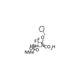 CNS(=O)(=O)N[C@@H]1CN(C(=O)O)[C@H](COCc2ccccc2)C1(F)F